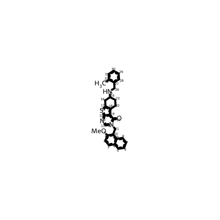 COc1ccc2ccccc2c1Cn1cnc2sc3c(c2c1=O)CCC(NCc1ccccc1C)C3